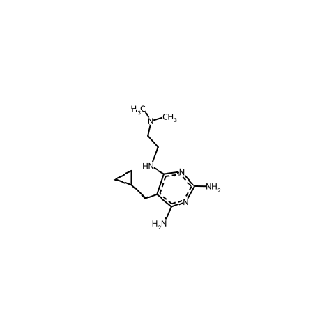 CN(C)CCNc1nc(N)nc(N)c1CC1CC1